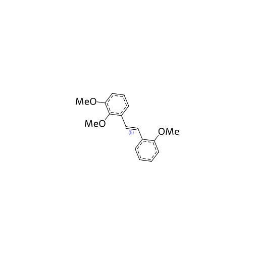 COc1ccccc1/C=C/c1cccc(OC)c1OC